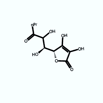 CCCC(=O)C(O)[C@H](O)[C@H]1OC(=O)C(O)=C1O